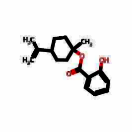 C=C(C)C1CCC(C)(OC(=O)c2ccccc2O)CC1